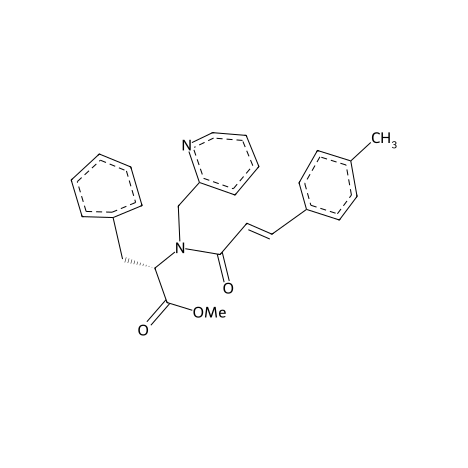 COC(=O)[C@H](Cc1ccccc1)N(Cc1ccccn1)C(=O)C=Cc1ccc(C)cc1